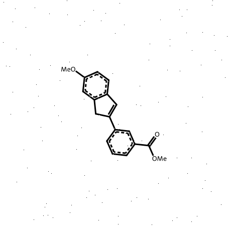 COC(=O)c1cccc(C2=Cc3ccc(OC)cc3C2)c1